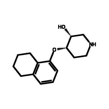 O[C@@H]1CNCC[C@@H]1Oc1cccc2c1CCCC2